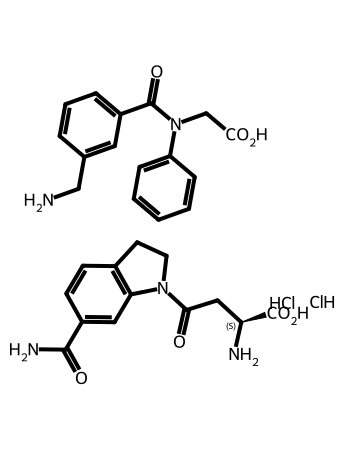 Cl.Cl.NC(=O)c1ccc2c(c1)N(C(=O)C[C@H](N)C(=O)O)CC2.NCc1cccc(C(=O)N(CC(=O)O)c2ccccc2)c1